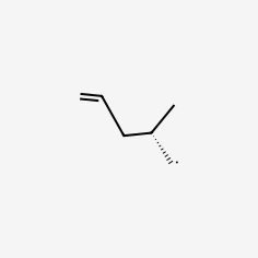 [CH2][C@@H](C)CC=C